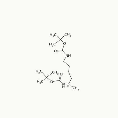 C[C@@H](CCCCNC(=O)OC(C)(C)C)NC(=O)OC(C)(C)C